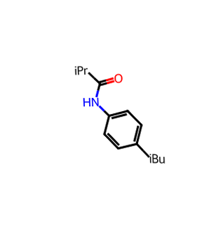 CCC(C)c1ccc(NC(=O)C(C)C)cc1